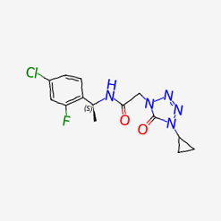 C[C@H](NC(=O)Cn1nnn(C2CC2)c1=O)c1ccc(Cl)cc1F